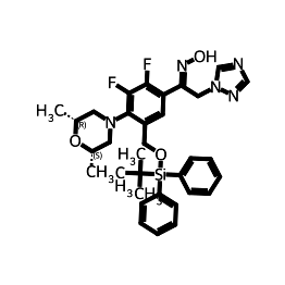 C[C@@H]1CN(c2c(CO[Si](c3ccccc3)(c3ccccc3)C(C)(C)C)cc(C(Cn3cncn3)=NO)c(F)c2F)C[C@H](C)O1